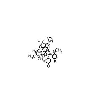 COc1ccc(F)cc1[C@H](Cn1c(=O)n([C@@H](C)C(=O)N(C)C(C)C)c(=O)c2c(C)c(-n3nccn3)sc21)OC1CCC(=O)CC1